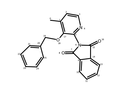 Cc1ccnc(N2C(=O)c3ccccc3C2=O)c1OCc1ccccc1